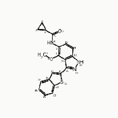 COc1c(NC(=O)C2CC2)ccc2[nH]nc(-c3cc4ccccc4s3)c12